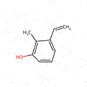 C=Cc1cccc(O)c1C